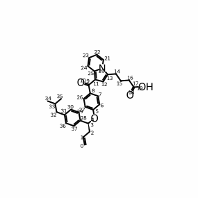 C=CC[C@H](Oc1ccc(C(=O)c2cc(CCCC(=O)O)n3ccccc23)cc1)c1ccc(CC(C)C)cc1